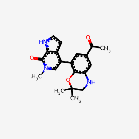 CC(=O)c1cc2c(c(-c3cn(C)c(=O)c4[nH]ccc34)c1)OC(C)(C)CN2